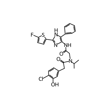 CC(C)N(CC(=O)Nc1nc(-c2ccc(F)s2)[nH]c1-c1ccccc1)C(=O)Cc1ccc(Cl)c(O)c1